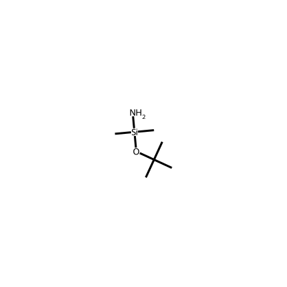 CC(C)(C)O[Si](C)(C)N